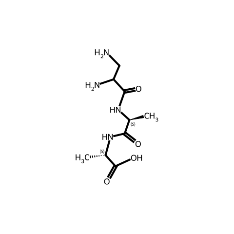 C[C@H](NC(=O)[C@H](C)NC(=O)C(N)CN)C(=O)O